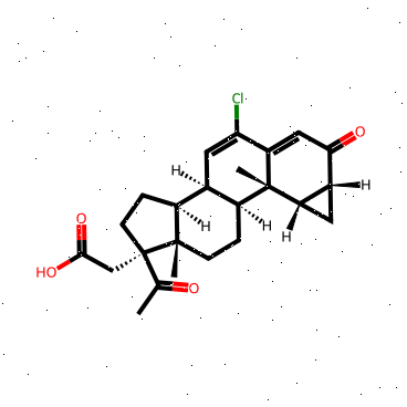 CC(=O)[C@@]1(CC(=O)O)CC[C@H]2[C@H]3C=C(Cl)C4=CC(=O)[C@@H]5C[C@@H]5[C@]4(C)[C@H]3CC[C@@]21C